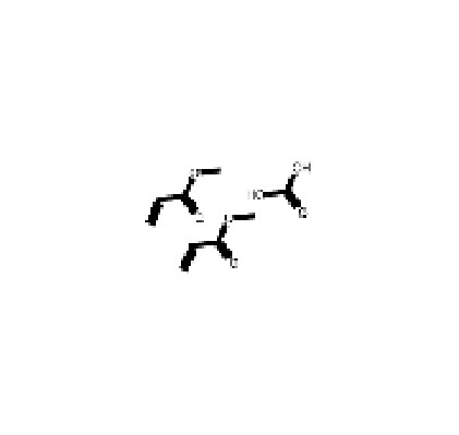 C=CC(=O)OC.C=CC(=O)OC.O=C(O)O